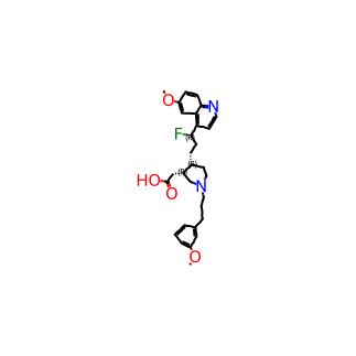 COc1cccc(CCCN2CC[C@@H](CC[C@@H](F)c3ccnc4ccc(OC)cc34)[C@@H](CC(=O)O)C2)c1